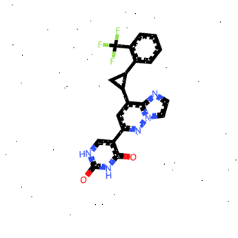 O=c1[nH]cc(-c2cc(C3CC3c3ccccc3C(F)(F)F)c3nccn3n2)c(=O)[nH]1